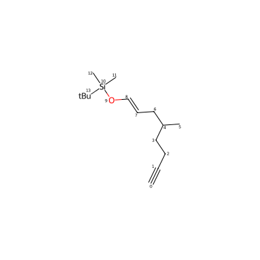 C#CCCC(C)C/C=C/O[Si](C)(C)C(C)(C)C